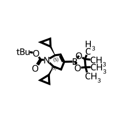 CC(C)(C)OC(=O)N1[C@@H](C2CC2)C=C(B2OC(C)(C)C(C)(C)O2)C[C@H]1C1CC1